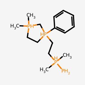 C[PH](C)(P)CC[PH]1(c2ccccc2)CC[PH](C)(C)C1